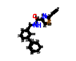 C#Cc1nc(C(=O)NCc2cccc(-c3ccccc3)c2)cs1